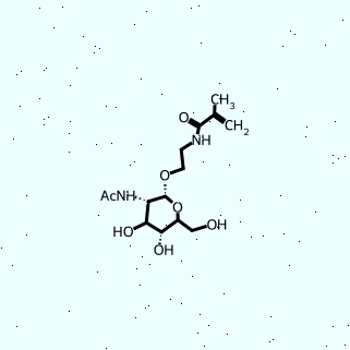 C=C(C)C(=O)NCCO[C@@H]1OC(CO)[C@H](O)C(O)[C@@H]1NC(C)=O